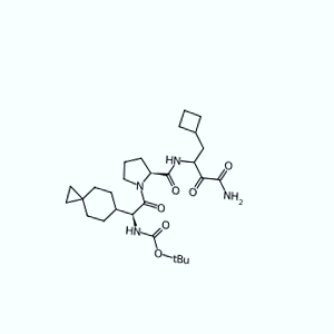 CC(C)(C)OC(=O)N[C@H](C(=O)N1CCC[C@H]1C(=O)NC(CC1CCC1)C(=O)C(N)=O)C1CCC2(CC1)CC2